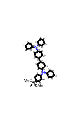 CO[Si](C)(OC)c1ccc(N(c2ccccc2)c2ccc(-c3ccc(N(c4ccccc4)c4ccccc4)cc3)cc2)cc1